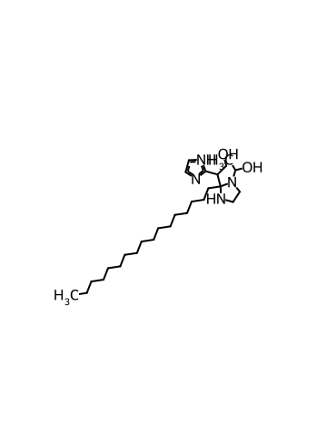 CCCCCCCCCCCCCCCCCC1(C(CO)c2ncc[nH]2)NCCN1C(C)O